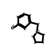 Clc1cccc(CN2CCCC2)c1